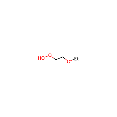 CCOCCOO